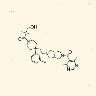 Cc1ncnc(C)c1C(=O)N1CC2CN(CCC3(c4cccc(F)c4)CCN(C(=O)C(C)(C)CO)CC3)CC2C1